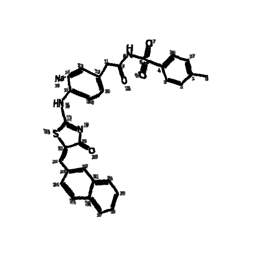 Cc1ccc(S(=O)(=O)NC(=O)Cc2ccc(NC3=NC(=O)C(=Cc4ccc5ccccc5c4)S3)cc2)cc1.[Na]